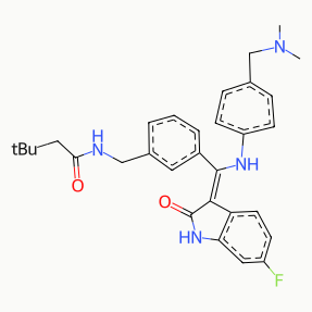 CN(C)Cc1ccc(NC(=C2C(=O)Nc3cc(F)ccc32)c2cccc(CNC(=O)CC(C)(C)C)c2)cc1